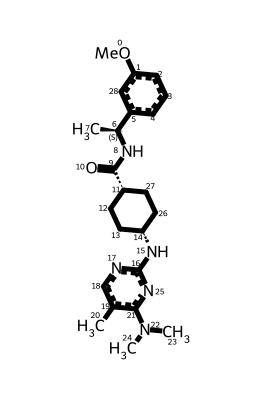 COc1cccc([C@H](C)NC(=O)[C@H]2CC[C@@H](Nc3ncc(C)c(N(C)C)n3)CC2)c1